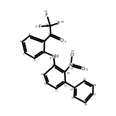 O=C(c1ccccc1Nc1cccc(-c2ccccc2)c1[N+](=O)[O-])C(F)(F)F